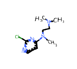 CN(C)CCN(C)c1ccnc(Cl)n1